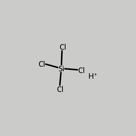 Cl[Si](Cl)(Cl)Cl.[H+]